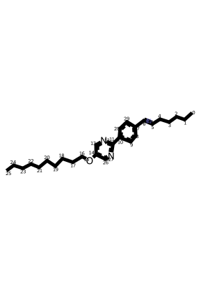 CCCCC/C=C/c1ccc(-c2ncc(OCCCCCCCCCC)cn2)cc1